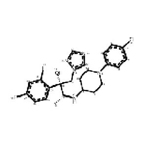 C[C@@H](NC1CCN(c2ccc(Cl)cc2)CC1)[C@](O)(Cn1cncn1)c1ccc(F)cc1F